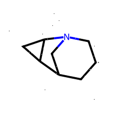 [CH]1CC2CN(C1)C1CC21